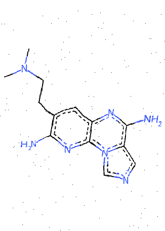 CN(C)CCc1cc2nc(N)c3cncn3c2nc1N